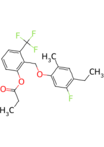 CCC(=O)Oc1cccc(C(F)(F)F)c1COc1cc(F)c(CC)cc1C